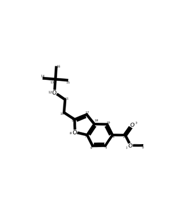 COC(=O)c1ccc2oc(CCOC(C)(C)C)cc2c1